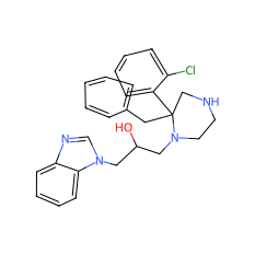 OC(CN1CCNCC1(Cc1ccccc1)c1ccccc1Cl)Cn1cnc2ccccc21